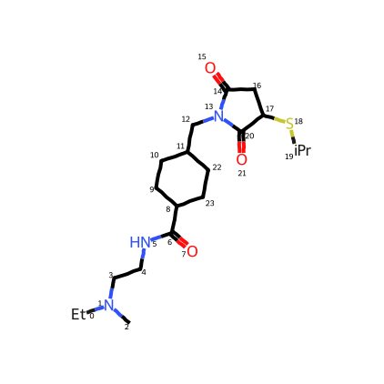 CCN(C)CCNC(=O)C1CCC(CN2C(=O)CC(SC(C)C)C2=O)CC1